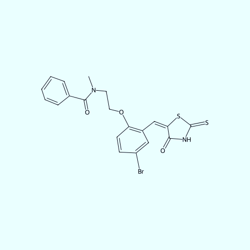 CN(CCOc1ccc(Br)cc1C=C1SC(=S)NC1=O)C(=O)c1ccccc1